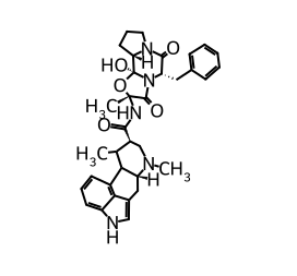 CC1C2c3cccc4[nH]cc(c34)C[C@H]2N(C)C[C@@H]1C(=O)N[C@]1(C)O[C@@]2(O)[C@@H]3CCCN3C(=O)[C@H](Cc3ccccc3)N2C1=O